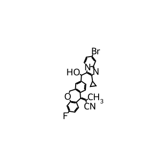 CC(C#N)=C1c2ccc(C(O)c3c(C4CC4)nc4cc(Br)ccn34)cc2COc2cc(F)ccc21